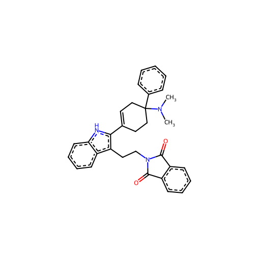 CN(C)C1(c2ccccc2)CC=C(c2[nH]c3ccccc3c2CCN2C(=O)c3ccccc3C2=O)CC1